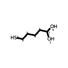 OC(O)CCCCS